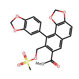 COC(=O)c1cc2ccc3c(c2c(-c2ccc4c(c2)OCO4)c1COS(C)(=O)=O)OCO3